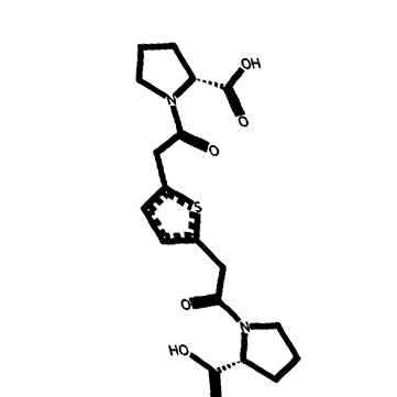 O=C(O)[C@H]1CCCN1C(=O)Cc1ccc(CC(=O)N2CCC[C@@H]2C(=O)O)s1